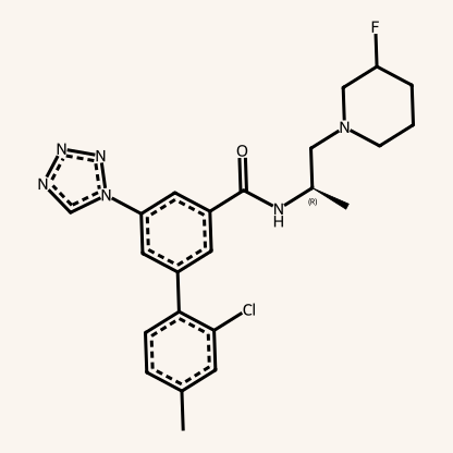 Cc1ccc(-c2cc(C(=O)N[C@H](C)CN3CCCC(F)C3)cc(-n3cnnn3)c2)c(Cl)c1